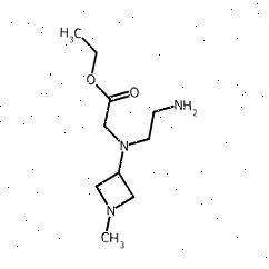 CCOC(=O)CN(CCN)C1CN(C)C1